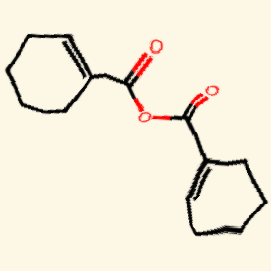 O=C(OC(=O)C1=CCCCC1)C1=CCCCC1